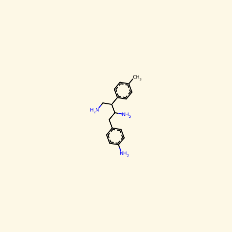 Cc1ccc(C(CN)C(N)Cc2ccc(N)cc2)cc1